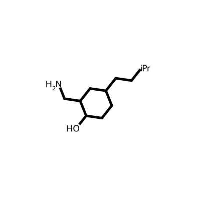 CC(C)CCC1CCC(O)C(CN)C1